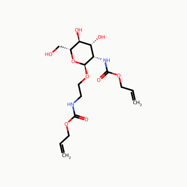 C=CCOC(=O)NCCO[C@H]1O[C@H](CO)[C@@H](O)[C@H](O)[C@@H]1NC(=O)OCC=C